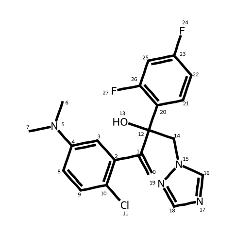 C=C(c1cc(N(C)C)ccc1Cl)C(O)(Cn1cncn1)c1ccc(F)cc1F